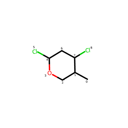 CC1[CH]OC(Cl)CC1Cl